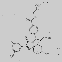 CC(C)C1CCC2(CC1)N=C(c1cc(F)cc(C(F)(F)F)c1)C(=O)N2[C@H](CCC(C)(C)C)c1ccc(C(=O)NCCC(=O)O)cc1